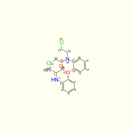 CCCC(Nc1ccccc1)C(=O)Oc1ccccc1N(CCCl)CCCl